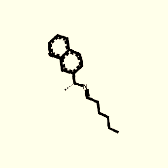 CCCCCC=N[C@H](C)c1ccc2ccccc2c1